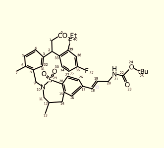 CCOC(=O)CC(c1ccc(C)c(CN2CC(C)Cc3cc(/C=C/CNC(=O)OC(C)(C)C)ccc3S2(=O)=O)c1)c1ccc(F)cc1F